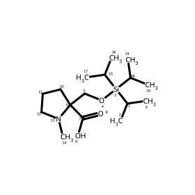 CC(C)[Si](OCC1(C(=O)O)CCCN1C)(C(C)C)C(C)C